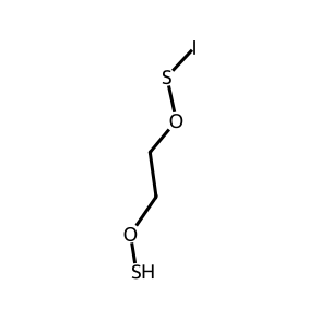 SOCCOSI